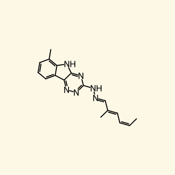 C\C=C/C=C(C)/C=N/Nc1nnc2c(n1)[nH]c1c(C)cccc12